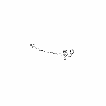 CCCCCCCCCCCCCCNC(=O)c1ccc2ccccc2c1O